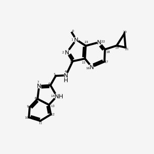 Cn1nc(NCc2nc3ccccc3[nH]2)c2ncc(C3CC3)nc21